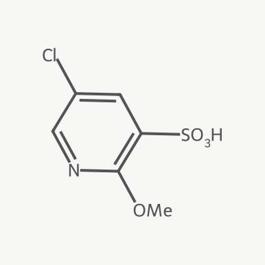 COc1ncc(Cl)cc1S(=O)(=O)O